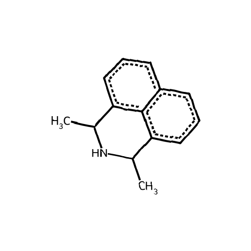 CC1NC(C)c2cccc3cccc1c23